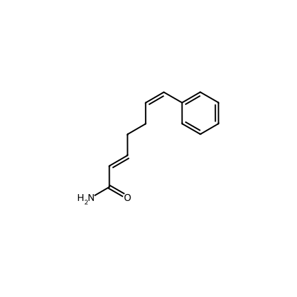 NC(=O)/C=C/CC/C=C\c1ccccc1